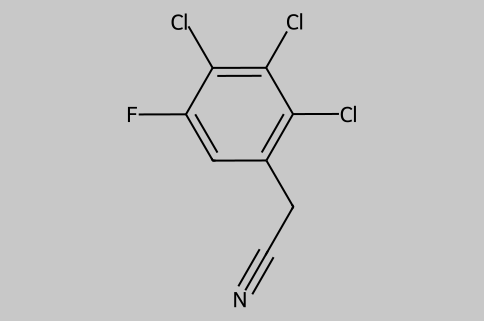 N#CCc1cc(F)c(Cl)c(Cl)c1Cl